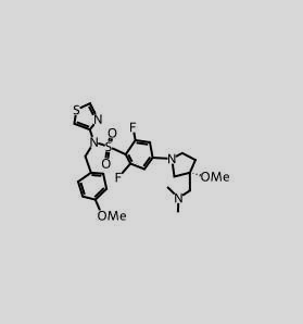 COc1ccc(CN(c2cscn2)S(=O)(=O)c2c(F)cc(N3CC[C@](CN(C)C)(OC)C3)cc2F)cc1